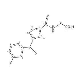 CC(c1cccc(F)c1)c1ccc(C(=O)NCC(=O)O)s1